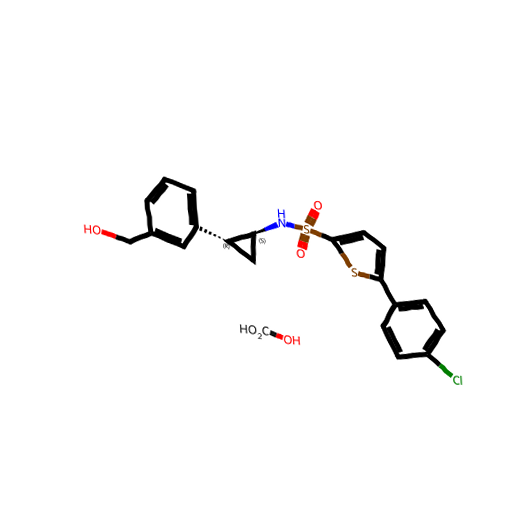 O=C(O)O.O=S(=O)(N[C@H]1C[C@@H]1c1cccc(CO)c1)c1ccc(-c2ccc(Cl)cc2)s1